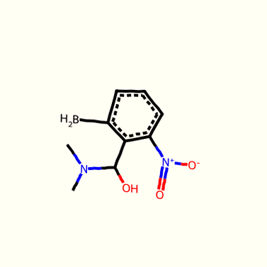 Bc1cccc([N+](=O)[O-])c1C(O)N(C)C